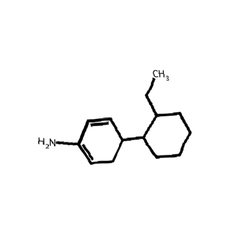 CCC1CCCCC1C1C=CC(N)=CC1